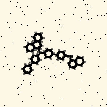 C1=Cc2c(cccc2Nc2ccc(-c3ccc(N(c4ccc(-c5ccccc5)cc4)c4cc5ccccc5c5ccccc45)cc3)cc2)CC1